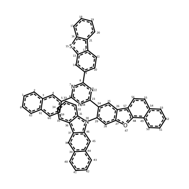 c1ccc2cc(-c3nc(-c4ccc5c(c4)sc4ccccc45)nc(-c4cc5c(cc4-n4c6ccccc6c6cc7ccccc7cc64)oc4c6ccccc6ccc54)n3)ccc2c1